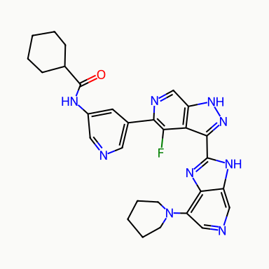 O=C(Nc1cncc(-c2ncc3[nH]nc(-c4nc5c(N6CCCCC6)cncc5[nH]4)c3c2F)c1)C1CCCCC1